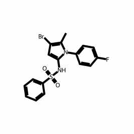 Cc1c(Br)cc(NS(=O)(=O)c2ccccc2)n1-c1ccc(F)cc1